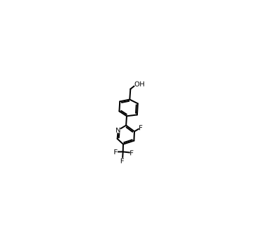 OCc1ccc(-c2ncc(C(F)(F)F)cc2F)cc1